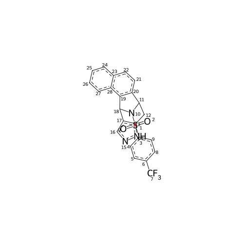 O=S(=O)(c1ccc(C(F)(F)F)cc1)N1C2Cc3[nH]ncc3C1c1c2ccc2ccccc12